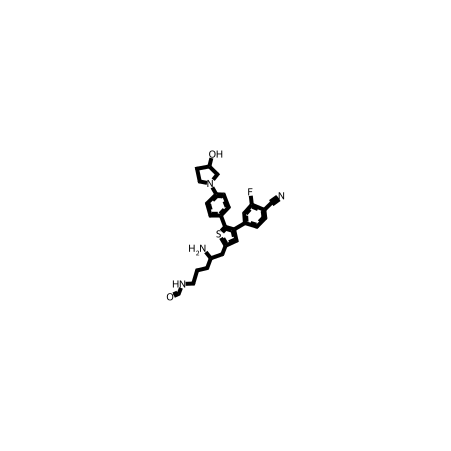 N#Cc1ccc(-c2cc(CC(N)CCCNC=O)sc2-c2ccc(N3CCC(O)C3)cc2)cc1F